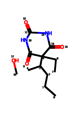 CCCC(C)C1(CC)C(=O)NC(=O)NC1=O.CO